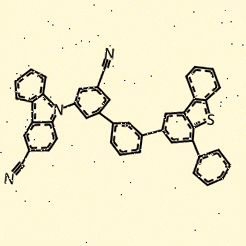 N#Cc1cc(-c2cccc(-c3cc(-c4ccccc4)c4sc5ccccc5c4c3)c2)cc(-n2c3ccccc3c3cc(C#N)ccc32)c1